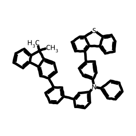 CC1(C)c2ccccc2-c2cc(-c3cccc(-c4cccc(N(c5ccccc5)c5ccc(-c6cccc7sc8ccccc8c67)cc5)c4)c3)ccc21